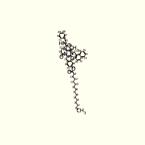 CCCCCCCCCCCCCCCC(=O)Oc1ccc(C[C@H]2C(=O)N(Cc3cccc4ccccc34)[C@@H](C)C3N(C(=O)NCc4ccccc4)CCC(=O)N32)cc1